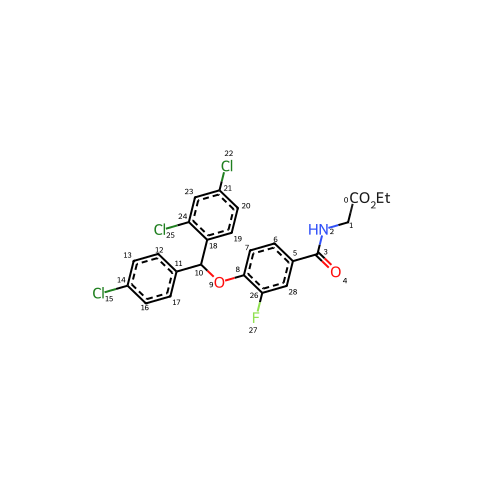 CCOC(=O)CNC(=O)c1ccc(OC(c2ccc(Cl)cc2)c2ccc(Cl)cc2Cl)c(F)c1